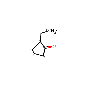 [CH2]CC1CCCC1=O